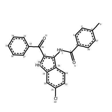 Cc1ccc(C(=O)Nc2c(C(=O)c3ccccc3)[nH]c3cc(Cl)ccc23)cc1